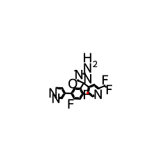 CN1C(=O)C(c2ccnc(C(F)F)c2)(c2cc(-c3ccnnc3)c(F)cc2F)N=C1N